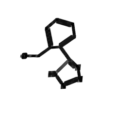 [O]Cc1ccccc1-c1nnn[nH]1